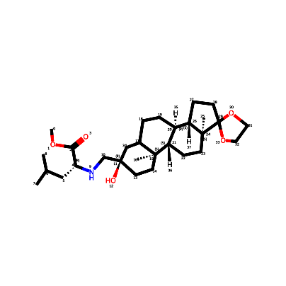 COC(=O)[C@@H](CC(C)C)NC[C@@]1(O)CC[C@@]2(C)C(CC[C@@H]3[C@@H]2CC[C@@]2(C)[C@H]3CCC23OCCO3)C1